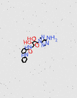 Nc1ncnc2c1ncn2C1OC(CNC(=O)c2ccccc2Nc2ccccc2)C(O)C1O